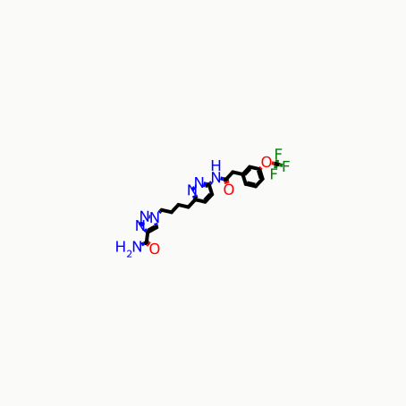 NC(=O)c1cn(CCCCc2ccc(NC(=O)Cc3cccc(OC(F)(F)F)c3)nn2)nn1